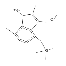 CC1=C(C)[CH]([Zr+2])c2c(C)ccc(C[Si](C)(C)C)c21.[Cl-].[Cl-]